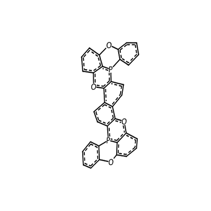 c1ccc2c(c1)Oc1cccc3oc4c5ccc6c(oc7cccc8c7p6-c6ccccc6O8)c5ccc4p-2c13